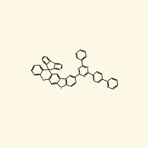 c1ccc(-c2ccc(-c3nc(-c4ccccc4)nc(-c4ccc5sc6cc7c(cc6c5c4)C4(c5ccccc5S7)c5ccccc5-c5ccccc54)n3)cc2)cc1